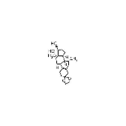 C#C[C@@]1(O)CC[C@H]2[C@@H]3[C@H](C)CC4=C(CCC5(C4)OCCO5)[C@H]3CC[C@@]21C